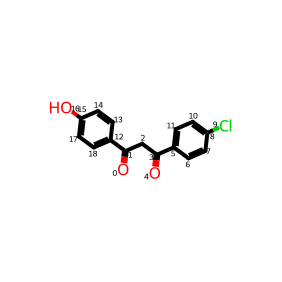 O=C(CC(=O)c1ccc(Cl)cc1)c1ccc(O)cc1